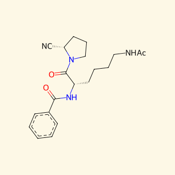 CC(=O)NCCCC[C@H](NC(=O)c1ccccc1)C(=O)N1CCC[C@H]1C#N